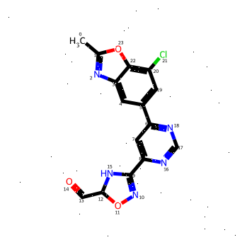 Cc1nc2cc(-c3cc(C4=NOC(C=O)N4)ncn3)cc(Cl)c2o1